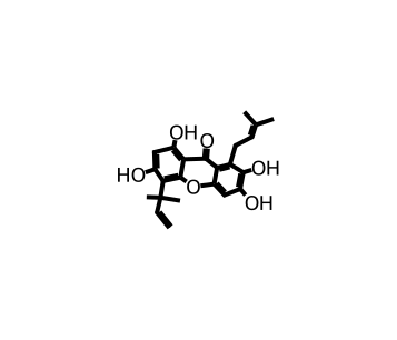 C=CC(C)(C)c1c(O)cc(O)c2c(=O)c3c(CC=C(C)C)c(O)c(O)cc3oc12